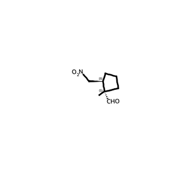 C[C@]1(C=O)CCC[C@@H]1C[N+](=O)[O-]